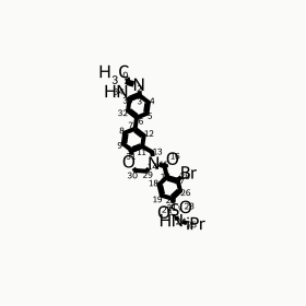 Cc1nc2ccc(-c3ccc4c(c3)CN(C(=O)c3ccc(S(=O)(=O)NC(C)C)cc3Br)CCO4)cc2[nH]1